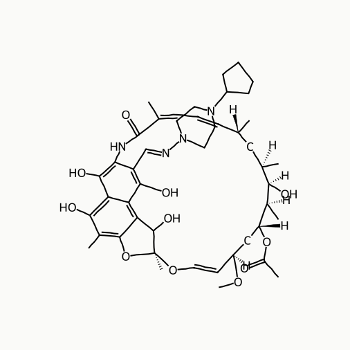 CO[C@H]1/C=C/O[C@@]2(C)Oc3c(C)c(O)c4c(O)c(c(/C=N/N5CCN(C6CCCC6)CC5)c(O)c4c3C2O)NC(=O)/C(C)=C\C=C\[C@H](C)C[C@@H](C)[C@@H](O)[C@@H](C)[C@H](OC(C)=O)C1